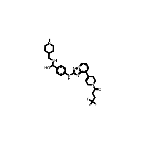 CN1CCC(CNC(O)c2ccc(Nc3nc4c(C5=CCN(C(=O)CCC(F)(F)F)CC5)cccn4n3)cc2)CC1